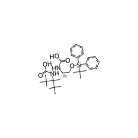 CC(C)(C)C(C[C@@H](CO[Si](c1ccccc1)(c1ccccc1)C(C)(C)C)NC(=O)O)(NC(=O)O)C(C)(C)C